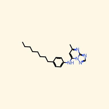 CCCCCCCCc1ccc(Nc2cc(C)nc3ncnn23)cc1